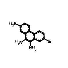 Bc1ccc2c(c1)c(N)c(N)c1cc(Br)ccc12